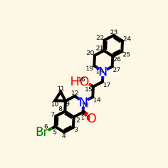 O=C1c2ccc(Br)cc2C2(CC2)CN1CC(O)CN1CCc2ccccc2C1